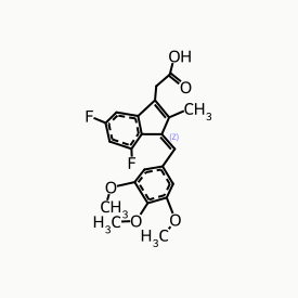 COc1cc(/C=C2/C(C)=C(CC(=O)O)c3cc(F)cc(F)c32)cc(OC)c1OC